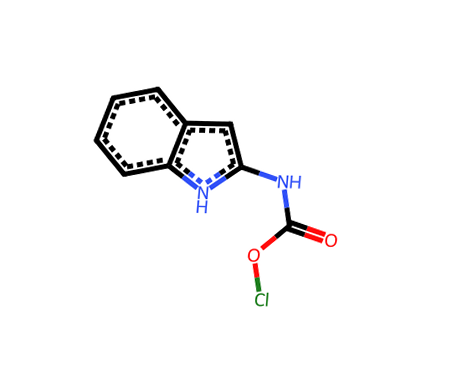 O=C(Nc1cc2ccccc2[nH]1)OCl